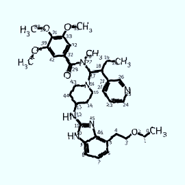 CCOCCc1cccc2[nH]c(NC3CCN(C(C(CC)c4cccnc4)N(C)C(=O)c4cc(OC)c(OC)c(OC)c4)CC3)nc12